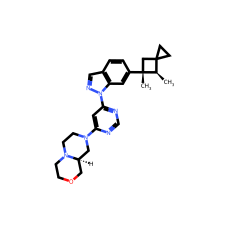 C[C@@H]1C2(CC2)C[C@@]1(C)c1ccc2cnn(-c3cc(N4CCN5CCOC[C@@H]5C4)ncn3)c2c1